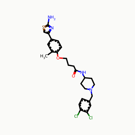 Cc1cc(-c2csc(N)n2)ccc1OCCCC(=O)NC1CCN(Cc2ccc(Cl)c(Cl)c2)CC1